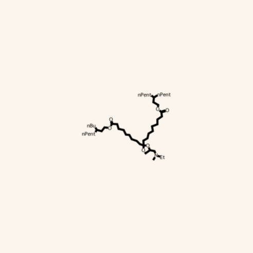 CCCCCC(CCCC)CCOC(=O)CCCCCCCCC1(CCCCCCCCC(=O)OCCC(CCCCC)CCCCC)OCC(CN(C)CC)O1